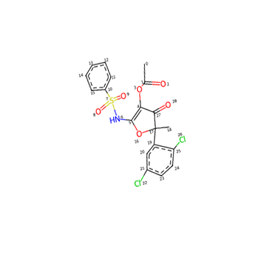 CC(=O)OC1=C(NS(=O)(=O)c2ccccc2)OC(C)(c2cc(Cl)ccc2Cl)C1=O